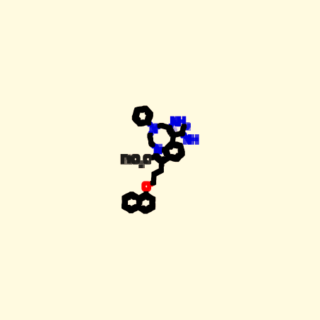 CCOC(=O)c1c(CCCOc2cccc3ccccc23)c2cccc3c2n1CCN(c1ccccc1)C/C(N)=C\3C(C)=N